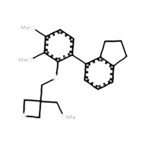 COCC1(COc2c(-c3cccc4c3CCC4)ccc(OC)c2OC)COC1